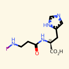 O=C(CCNI)N[C@@H](Cc1cnc[nH]1)C(=O)O